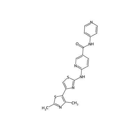 Cc1nc(C)c(-c2csc(Nc3ccc(C(=O)Nc4ccncc4)cn3)n2)s1